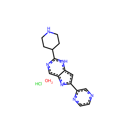 Cl.O.c1cnc(-c2cc3[nH]c(C4CCNCC4)ncc-3n2)cn1